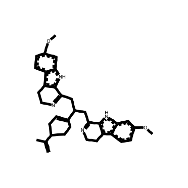 C=C(C)C1CC=C(C(CC2=NCCc3c2[nH]c2cc(OC)ccc32)CC2=NCCc3c2[nH]c2cc(OC)ccc32)CC1